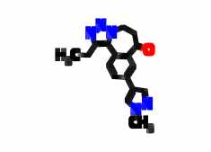 CCc1nnn2c1-c1ccc(-c3cnn(C)c3)cc1C(=O)CC2